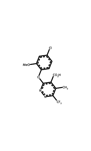 COc1cc(Cl)ccc1Oc1nnc(C(F)(F)F)c(C)c1C(=O)O